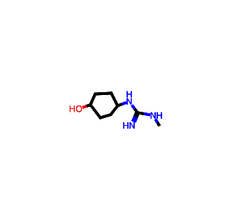 CNC(=N)NC1CCC(O)CC1